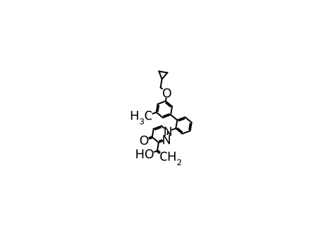 C=C(O)c1nn(-c2ccccc2-c2cc(C)cc(OCC3CC3)c2)ccc1=O